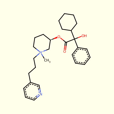 C[N+]1(CCCc2cccnc2)CCC[C@@H](OC(=O)C(O)(c2ccccc2)C2CCCCC2)C1